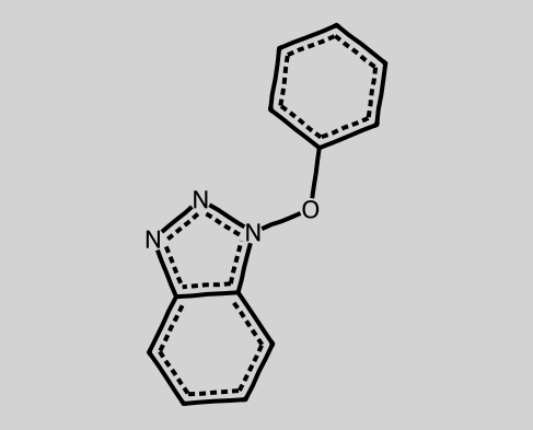 c1ccc(On2nnc3ccccc32)cc1